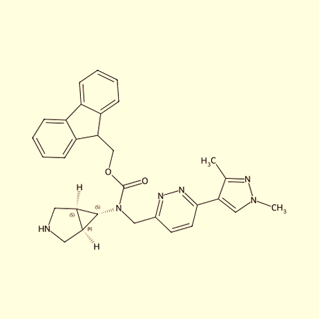 Cc1nn(C)cc1-c1ccc(CN(C(=O)OCC2c3ccccc3-c3ccccc32)[C@H]2[C@@H]3CNC[C@@H]32)nn1